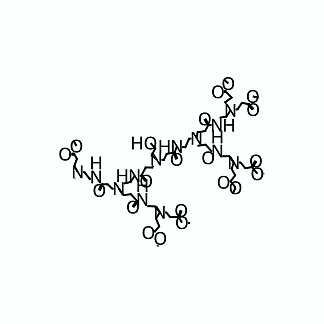 COC(=O)CCN(C)CCNC(=O)CCN(CCNC(=O)CCN(CCO)CCC(=O)NCCN(CCC(=O)NCCN(CCC(=O)OC)CCC(=O)OC)CCC(=O)NCCN(CCC(=O)OC)CCC(=O)OC)CCC(=O)NCCN(CCC(=O)OC)CCC(=O)OC